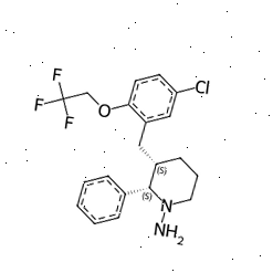 NN1CCC[C@@H](Cc2cc(Cl)ccc2OCC(F)(F)F)[C@H]1c1ccccc1